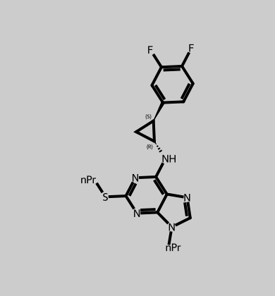 CCCSc1nc(N[C@@H]2C[C@H]2c2ccc(F)c(F)c2)c2ncn(CCC)c2n1